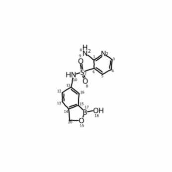 Nc1ncccc1S(=O)(=O)Nc1ccc2c(c1)B(O)OC2